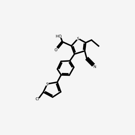 CCc1sc(C(=O)O)c(-c2ccc(-c3ccc(Cl)s3)cc2)c1C#N